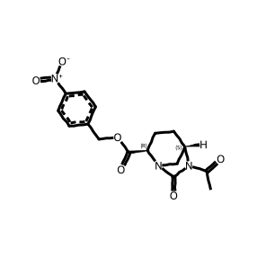 CC(=O)N1C(=O)N2C[C@@H]1CC[C@@H]2C(=O)OCc1ccc([N+](=O)[O-])cc1